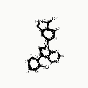 O=C1NCc2cc(-n3cc(-c4ccccc4Cl)c4cncnc43)ccc21